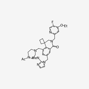 CCOc1cc(CN2CC3(CCC3)c3c(CN4CCN(C(C)=O)CC4)cc(Cn4ccnc4NC)cc3C2=O)ncc1F